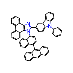 c1ccc(-n2c3ccccc3c3cc(-c4nc5c6ccccc6c6ccccc6c5n4-c4ccc(-c5c6ccccc6cc6ccccc56)c5ccccc45)ccc32)cc1